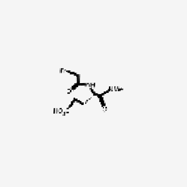 CNC(=O)[C@H](CCC(=O)O)NC(=O)CC(C)C